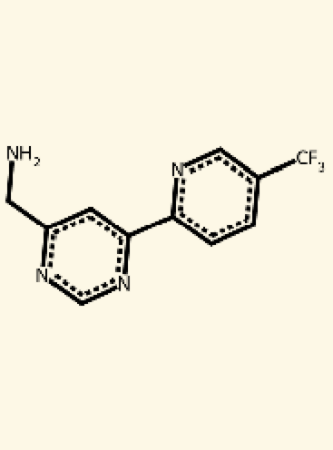 NCc1cc(-c2ccc(C(F)(F)F)cn2)ncn1